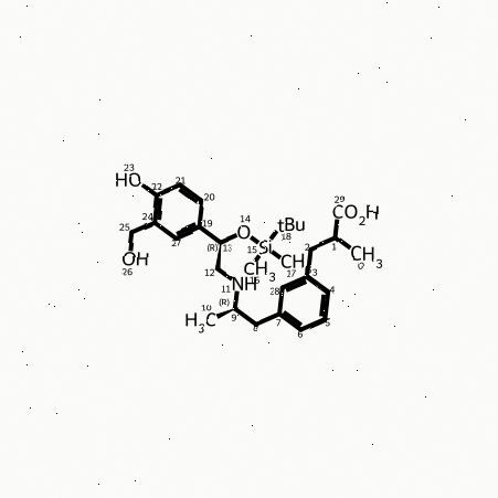 CC(Cc1cccc(C[C@@H](C)NC[C@H](O[Si](C)(C)C(C)(C)C)c2ccc(O)c(CO)c2)c1)C(=O)O